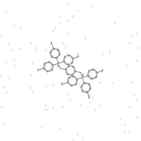 Fc1ccc([PH](Cc2ccc(C[PH](c3ccc(F)cc3)(c3ccc(F)cc3)c3ccc(F)cc3)cc2)(c2ccc(F)cc2)c2ccc(F)cc2)cc1